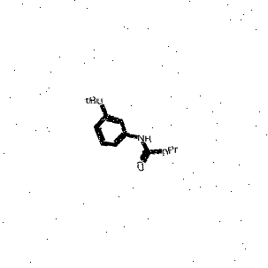 CCCC(=O)Nc1cccc(C(C)(C)C)c1